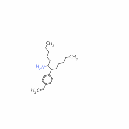 C=Cc1ccc(C(CCCCC)C(N)CCCCC)cc1